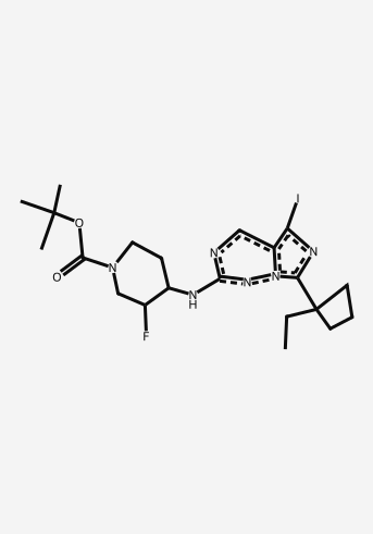 CCC1(c2nc(I)c3cnc(NC4CCN(C(=O)OC(C)(C)C)CC4F)nn23)CCC1